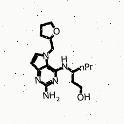 CCCC(CCO)Nc1nc(N)nc2ccn(CC3CCCO3)c12